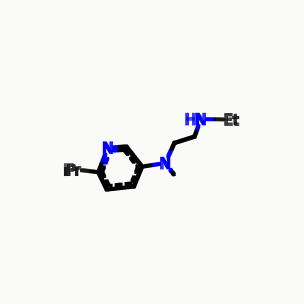 CCNCCN(C)c1ccc(C(C)C)nc1